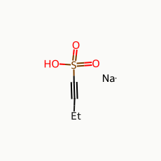 CCC#CS(=O)(=O)O.[Na]